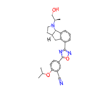 CC(C)Oc1ccc(-c2nc(-c3cccc4c3C[C@H]3CCN([C@H](C)CO)C43)no2)cc1C#N